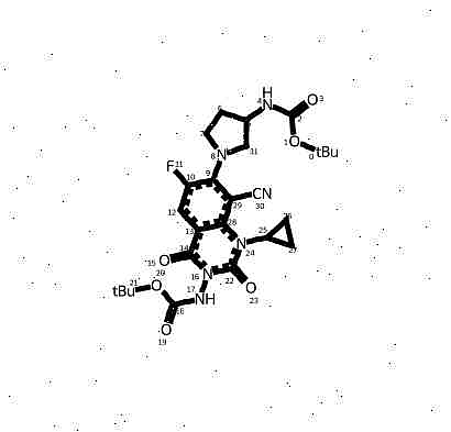 CC(C)(C)OC(=O)NC1CCN(c2c(F)cc3c(=O)n(NC(=O)OC(C)(C)C)c(=O)n(C4CC4)c3c2C#N)C1